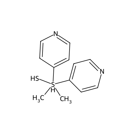 C[SH](C)(S)(c1ccncc1)c1ccncc1